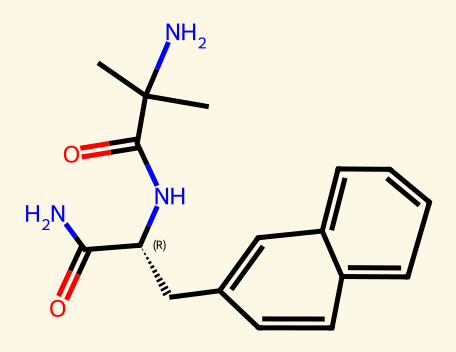 CC(C)(N)C(=O)N[C@H](Cc1ccc2ccccc2c1)C(N)=O